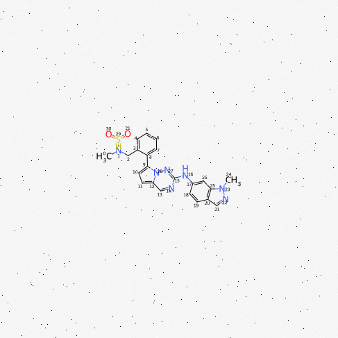 CN(Cc1ccccc1-c1ccc2cnc(Nc3ccc4cnn(C)c4c3)nn12)[SH](=O)=O